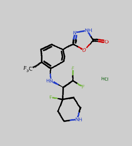 Cl.O=c1[nH]nc(-c2ccc(C(F)(F)F)c(N[C@@H](C(F)F)C3(F)CCNCC3)c2)o1